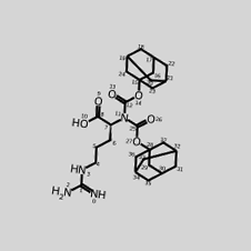 N=C(N)NCCC[C@@H](C(=O)O)N(C(=O)OC12CC3CC(CC(C3)C1)C2)C(=O)OC12CC3CC(CC(C3)C1)C2